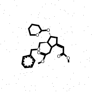 COC(=O)C=C1C[C@@H](OC2CCCCO2)[C@H](COCc2ccccc2)C1CC(=O)OC